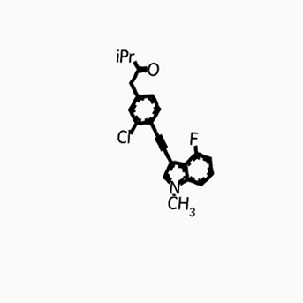 CC(C)C(=O)Cc1ccc(C#Cc2cn(C)c3cccc(F)c23)c(Cl)c1